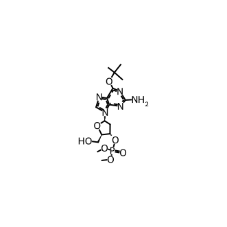 COP(=O)(OC)O[C@H]1C[C@H](n2cnc3c(OC(C)(C)C)nc(N)nc32)O[C@@H]1CO